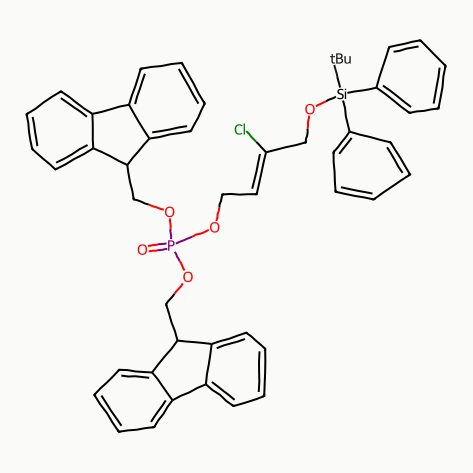 CC(C)(C)[Si](OCC(Cl)=CCOP(=O)(OCC1c2ccccc2-c2ccccc21)OCC1c2ccccc2-c2ccccc21)(c1ccccc1)c1ccccc1